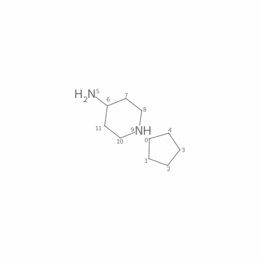 C1CCCC1.NC1CCNCC1